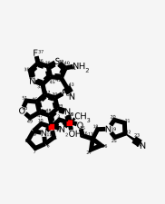 C[C@@H](O)CN1CC2CCC(C1)N2c1nc(OCC2(CN3CC[C@@H](C#N)C3)CC2)nc2c(F)c(-c3ncc(F)c4sc(N)c(C#N)c34)c3c(c12)COC3